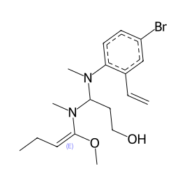 C=Cc1cc(Br)ccc1N(C)C(CCO)N(C)/C(=C\CC)OC